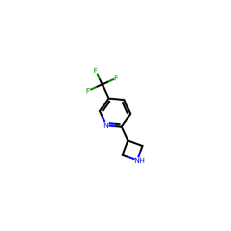 FC(F)(F)c1ccc(C2CNC2)nc1